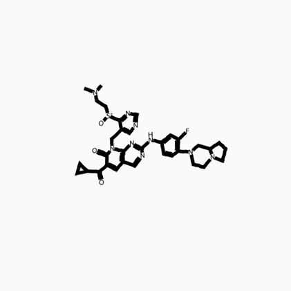 CN(C)CC[S+]([O-])c1ncncc1Cn1c(=O)c(C(=O)C2CC2)cc2cnc(Nc3ccc(N4CCN5CCCC5C4)c(F)c3)nc21